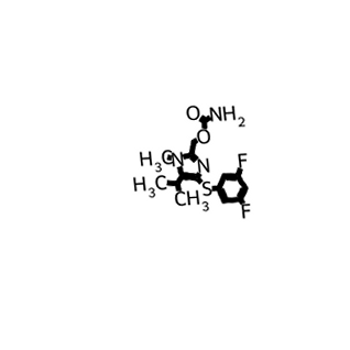 CC(C)c1c(Sc2cc(F)cc(F)c2)nc(COC(N)=O)n1C